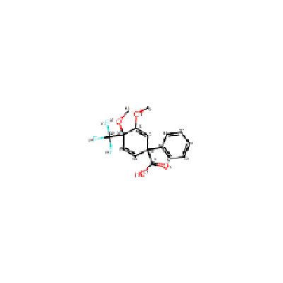 COC1=CC(C(=O)O)(c2ccccc2)C=CC1(OC)C(F)(F)F